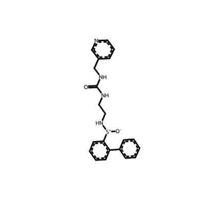 O=C(NCCN[S+]([O-])c1ccccc1-c1ccccc1)NCc1cccnc1